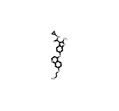 Cc1oc2cc(Oc3ccnc4cc(OCCO)ccc34)ccc2c1C(=O)NC1CC1